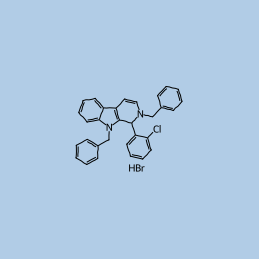 Br.Clc1ccccc1C1c2c(c3ccccc3n2Cc2ccccc2)C=CN1Cc1ccccc1